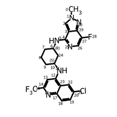 Cn1cc2c(N[C@@H]3CCC[C@H](Nc4cc(C(F)(F)F)nc5ccc(Cl)cc45)C3)ncc(F)c2n1